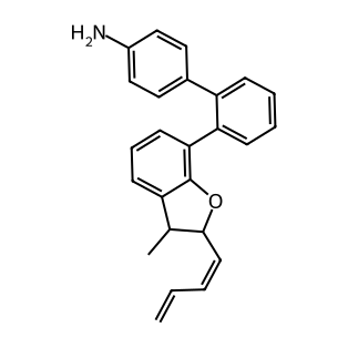 C=C/C=C\C1Oc2c(-c3ccccc3-c3ccc(N)cc3)cccc2C1C